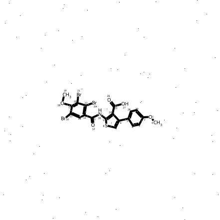 COc1ccc(-c2csc(NC(=O)c3cc(Br)c(OC)c(Br)c3Br)c2C(=O)O)cc1